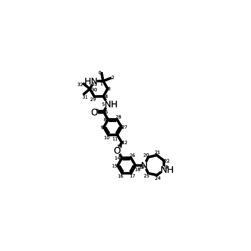 CC1(C)CC(NC(=O)c2ccc(COc3cccc(N4CCCNCC4)c3)cc2)CC(C)(C)N1